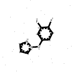 Fc1ccc(On2c[c]cn2)cc1F